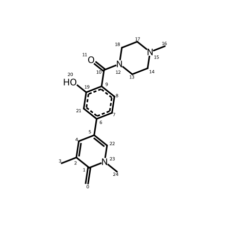 C=C1C(C)=CC(c2ccc(C(=O)N3CCN(C)CC3)c(O)c2)=CN1C